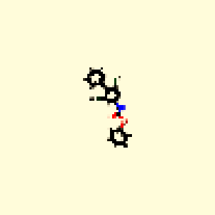 O=C(Nc1cc(F)c(-c2ccccc2)c(F)c1)Oc1ccccc1